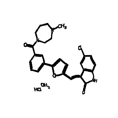 CN1CCCN(C(=O)c2cccc(-c3ccc(/C=C4/C(=O)Nc5ccc(Cl)cc54)o3)c2)CC1.Cl.O